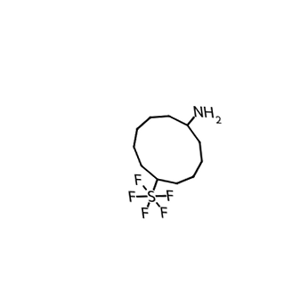 NC1CCCCCC(S(F)(F)(F)(F)F)CCCC1